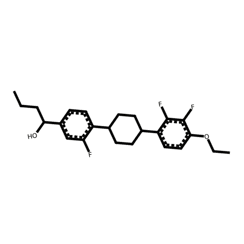 CCCC(O)c1ccc(C2CCC(c3ccc(OCC)c(F)c3F)CC2)c(F)c1